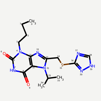 CCCCn1c(=O)[nH]c(=O)c2c1nc(CSc1nc[nH]n1)n2C(C)C